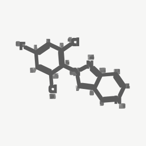 Fc1cc(Cl)c(-n2cc3cnccc3n2)c(Cl)c1